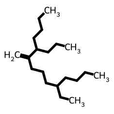 C=C(CCCC(CC)CCCC)C(CCC)CCCC